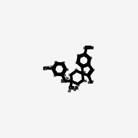 COc1ccc2c(c1)C=C(Br)C21CCC(Nc2cccc(Cl)c2)(C(=O)O)CC1